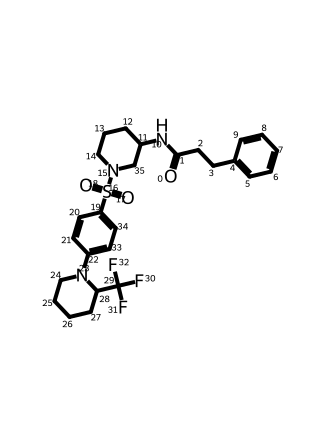 O=C(CCc1ccccc1)NC1CCCN(S(=O)(=O)c2ccc(N3CCCCC3C(F)(F)F)cc2)C1